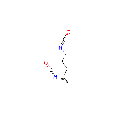 C[C@H](CCCN=C=O)N=C=O